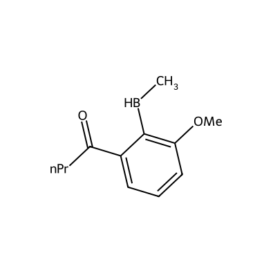 CBc1c(OC)cccc1C(=O)CCC